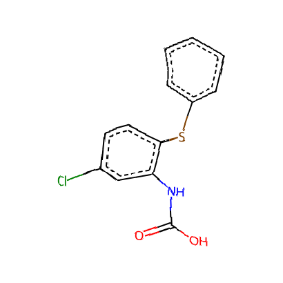 O=C(O)Nc1cc(Cl)ccc1Sc1ccccc1